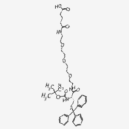 CC(C)(C)OC(=O)N[C@@H](CSC(c1ccccc1)(c1ccccc1)c1ccccc1)C(=O)NCCOCCOCCOCCNC(=O)CCCC(=O)O